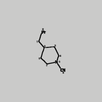 CC(C)CC1CCN(C#N)CC1